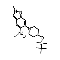 Cn1cc2cc([N+](=O)[O-])c(N3CCC(O[Si](C)(C)C(C)(C)C)CC3)cc2n1